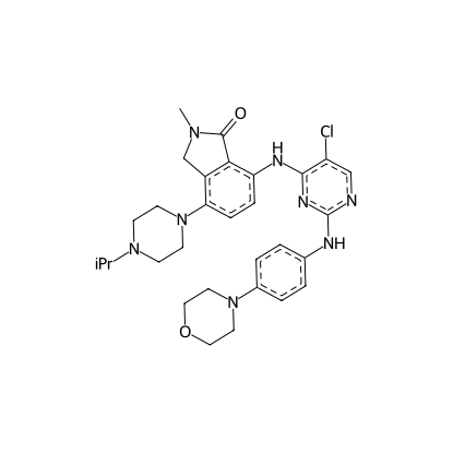 CC(C)N1CCN(c2ccc(Nc3nc(Nc4ccc(N5CCOCC5)cc4)ncc3Cl)c3c2CN(C)C3=O)CC1